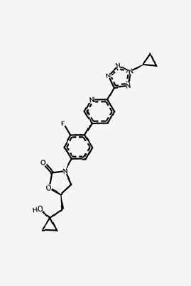 O=C1O[C@H](CC2(O)CC2)CN1c1ccc(-c2ccc(-c3nnn(C4CC4)n3)nc2)c(F)c1